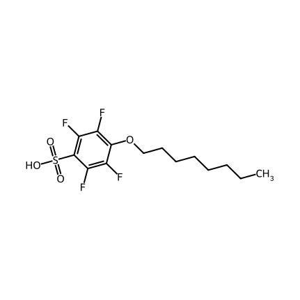 CCCCCCCCOc1c(F)c(F)c(S(=O)(=O)O)c(F)c1F